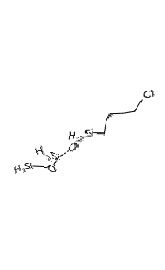 [SiH3]O[SiH2]O[SiH2]CCCCl